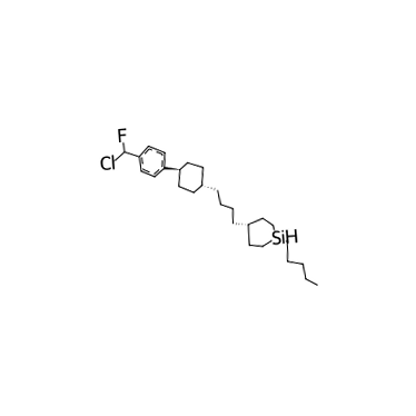 CCCCC[Si@H]1CC[C@H](CCCC[C@H]2CC[C@H](c3ccc(C(F)Cl)cc3)CC2)CC1